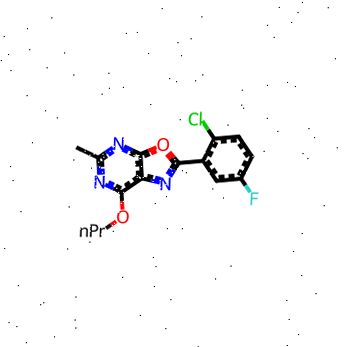 CCCOc1nc(C)nc2oc(-c3cc(F)ccc3Cl)nc12